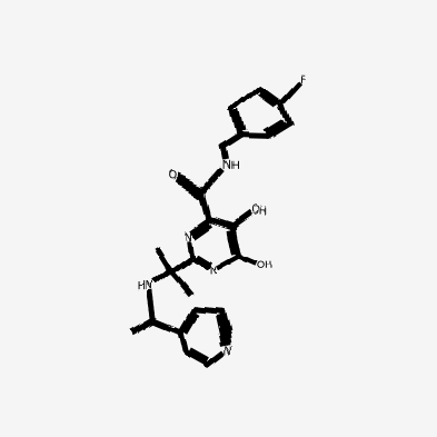 CC(NC(C)(C)c1nc(O)c(O)c(C(=O)NCc2ccc(F)cc2)n1)c1ccncc1